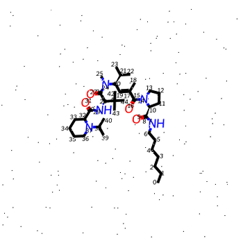 CCCCCCCNC(=O)[C@@H]1CCCN1C(=O)/C(C)=C/[C@H](C(C)C)N(C)C(=O)[C@@H](NC(=O)C1CCCCN1C(C)C)C(C)(C)C